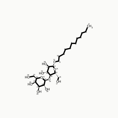 CCCCCCCCCCCCO[C@@H]1O[C@H](CO)[C@@H](O[C@@H]2O[C@H](CO)[C@H](O)[C@H](O)[C@H]2O)[C@H](O)[C@H]1O